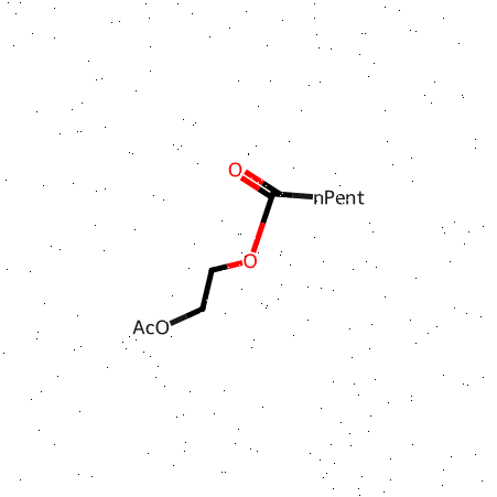 CCCCCC(=O)OCCOC(C)=O